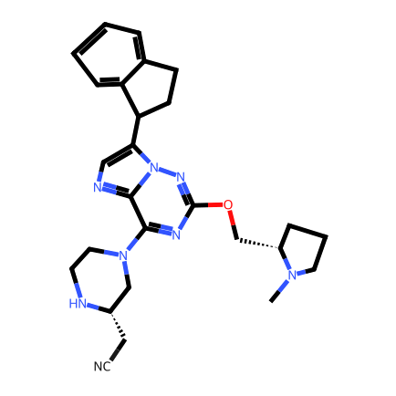 CN1CCC[C@H]1COc1nc(N2CCN[C@@H](CC#N)C2)c2ncc(C3CCc4ccccc43)n2n1